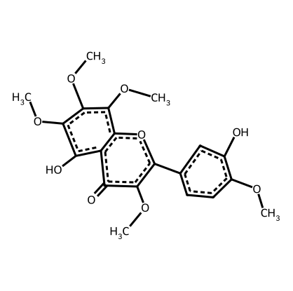 COc1ccc(-c2oc3c(OC)c(OC)c(OC)c(O)c3c(=O)c2OC)cc1O